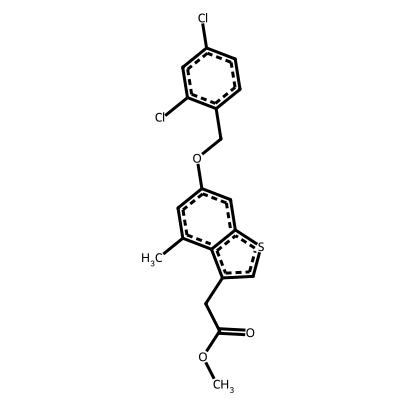 COC(=O)Cc1csc2cc(OCc3ccc(Cl)cc3Cl)cc(C)c12